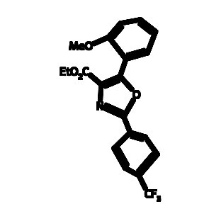 CCOC(=O)c1nc(-c2ccc(C(F)(F)F)cc2)oc1-c1ccccc1OC